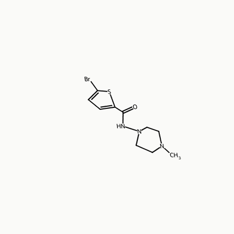 CN1CCN(NC(=O)c2ccc(Br)s2)CC1